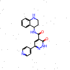 O=C(NC1CCNc2ccccc21)c1cc(-c2ccncc2)n[nH]c1=O